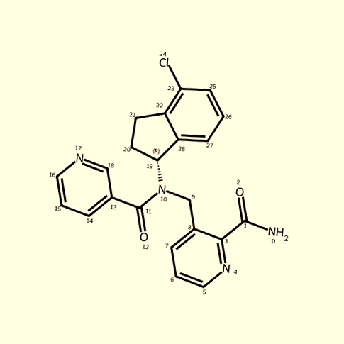 NC(=O)c1ncccc1CN(C(=O)c1cccnc1)[C@@H]1CCc2c(Cl)cccc21